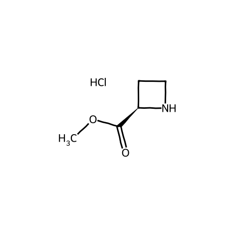 COC(=O)[C@H]1CCN1.Cl